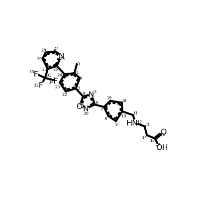 Cc1cc(-c2nc(-c3ccc(CNCCC(=O)O)cc3)no2)ccc1-c1ncccc1C(F)(F)F